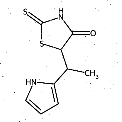 CC(c1ccc[nH]1)C1SC(=S)NC1=O